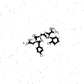 CC(N)c1nc(Cn2nc(-c3ccc(Cl)cc3)n(CC(O)C(F)(F)F)c2=O)nn1-c1ccccc1Cl